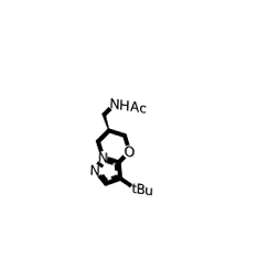 CC(=O)NC[C@H]1COc2c(C(C)(C)C)cnn2C1